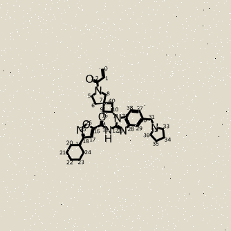 C=CC(=O)N1CC[C@]2(C1)C[C@H](n1c(NC(=O)c3cc(C4CCCCC4)no3)nc3cc(CN4CCCC4)ccc31)C2